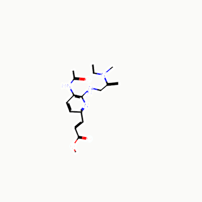 C=C(CNc1nc(/C=C/C(=O)OC)ccc1NC(C)=O)N(C)CC